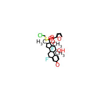 C[C@@H]1CC2C3C[C@@H](F)C4=CC(=O)C=C[C@]4(C)[C@]3(F)[C@@H](O)C[C@]2(C)C1(OC(=O)c1ccco1)C(=O)SCCl